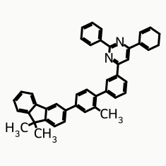 Cc1cc(-c2ccc3c(c2)-c2ccccc2C3(C)C)ccc1-c1cccc(-c2cc(C3=CCCC=C3)nc(-c3ccccc3)n2)c1